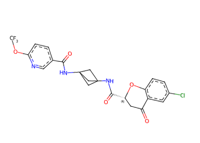 O=C(NC12CC(NC(=O)[C@H]3CC(=O)c4cc(Cl)ccc4O3)(C1)C2)c1ccc(OC(F)(F)F)nc1